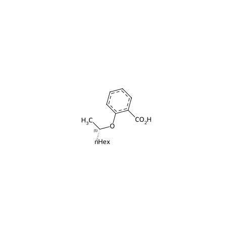 CCCCCC[C@H](C)Oc1ccccc1C(=O)O